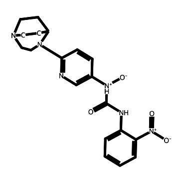 O=C(Nc1ccccc1[N+](=O)[O-])[NH+]([O-])c1ccc(N2CCN3CCC2CC3)nc1